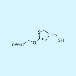 CCCCCCOc1cc(CS)cs1